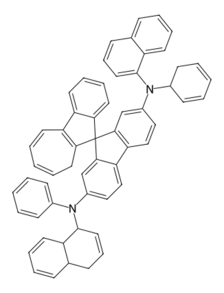 C1=CCC2=C(C=C1)c1ccccc1C21c2cc(N(c3cccc4ccccc34)C3C=CC=CC3)ccc2-c2ccc(N(c3ccccc3)C3C=CCC4C=CC=CC43)cc21